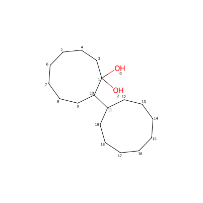 OC1(O)CCCCCCCC1C1CCCCCCCC1